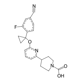 N#Cc1ccc(C2(Oc3cccc(C4CCN(C(=O)O)CC4)n3)CC2)c(F)c1